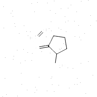 C=C.CCOC(=O)C1CCCC1=O